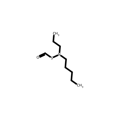 CCCCCN(CCC)S[C]=O